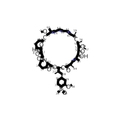 CO[C@H]1C[C@@H]2CC[C@@H](C)[C@@](O)(O2)C(=O)C(=O)N2CCCCC2C(=O)O[C@H]([C@H](C)C[C@@H]2CCC([PH](C)=O)[C@H](OC)C2)CC(=O)[C@H](C)/C=C(\C)[C@@H](O)[C@@H](OC)C(=O)[C@H](C)C[C@H](C)/C=C/C=C/C=C/1C